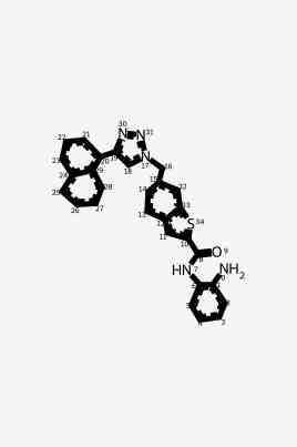 Nc1ccccc1NC(=O)c1cc2ccc(Cn3cc(-c4cccc5ccccc45)nn3)cc2s1